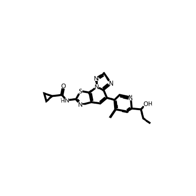 CCC(O)c1cc(C)c(-c2cc3nc(NC(=O)C4CC4)sc3n3ncnc23)cn1